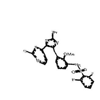 COc1c(NS(=O)(=O)c2c(F)cccc2F)cccc1-c1nc(C(C)C)sc1-c1ccnc(Cl)n1